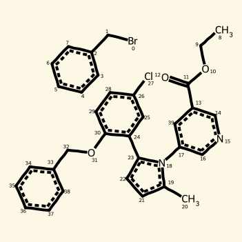 BrCc1ccccc1.CCOC(=O)c1cncc(-n2c(C)ccc2-c2cc(Cl)ccc2OCc2ccccc2)c1